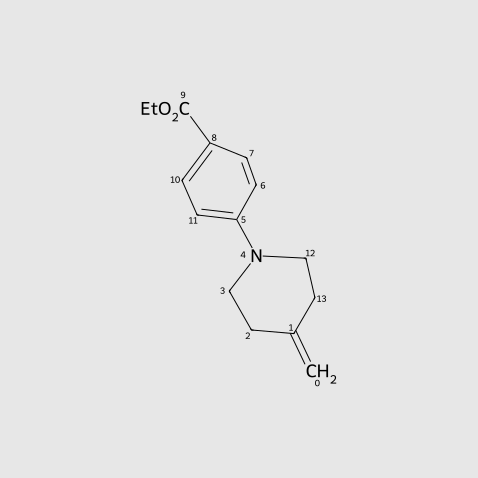 C=C1CCN(c2ccc(C(=O)OCC)cc2)CC1